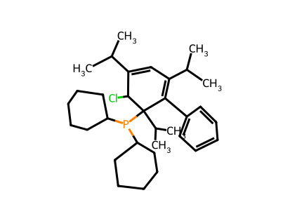 CC(C)C1=CC(C(C)C)=C(c2ccccc2)C(C(C)C)(P(C2CCCCC2)C2CCCCC2)C1Cl